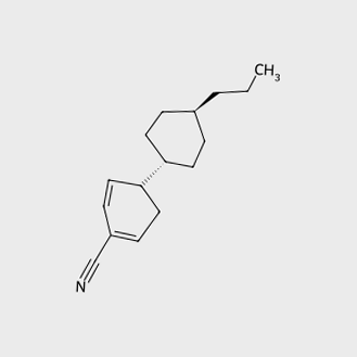 CCC[C@H]1CC[C@H](C2C=CC(C#N)=CC2)CC1